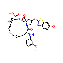 COc1cccc(N[C@H]2CCCCC/C=C\[C@@H]3C[C@@]3(C(=O)O)NC(=O)[C@@H]3C[C@@H](Oc4nc5ccc(OC)cc5s4)CN3C2=O)c1